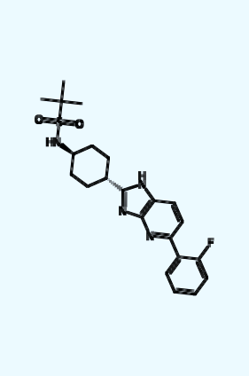 CC(C)(C)S(=O)(=O)N[C@H]1CC[C@H](c2nc3nc(-c4ccccc4F)ccc3[nH]2)CC1